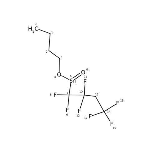 CCCC[O][Sn](=[O])[C](F)(F)C(F)(F)CC(F)(F)F